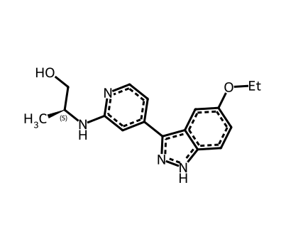 CCOc1ccc2[nH]nc(-c3ccnc(N[C@@H](C)CO)c3)c2c1